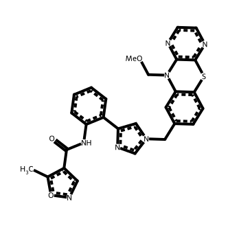 COCN1c2cc(Cn3cnc(-c4ccccc4NC(=O)c4cnoc4C)c3)ccc2Sc2nccnc21